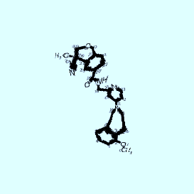 COc1cccc2c1CCN(c1ccnc(CNC(=O)c3ccc4c(c3)[C@](C)(C#N)COC4)c1)C2